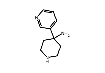 NC1(c2cccnc2)CCNCC1